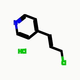 Cl.ClC/C=C/c1ccncc1